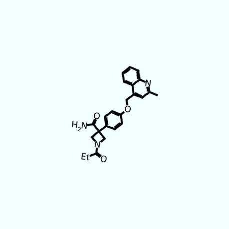 CCC(=O)N1CC(C(N)=O)(c2ccc(OCc3cc(C)nc4ccccc34)cc2)C1